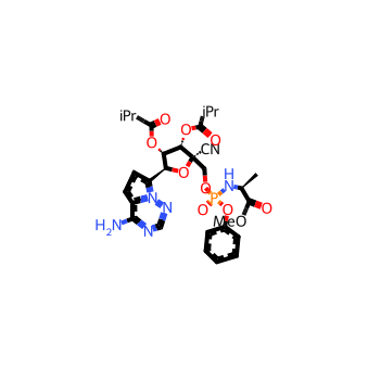 COC(=O)[C@H](C)NP(=O)(OC[C@@]1(C#N)O[C@@H](c2ccc3c(N)ncnn23)[C@H](OC(=O)C(C)C)[C@@H]1OC(=O)C(C)C)Oc1ccccc1